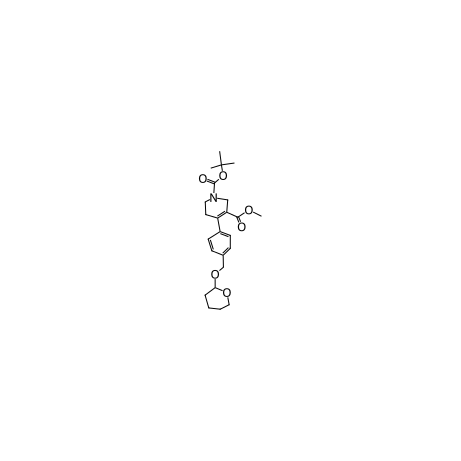 COC(=O)C1=C(c2ccc(COC3CCCCO3)cc2)CCN(C(=O)OC(C)(C)C)C1